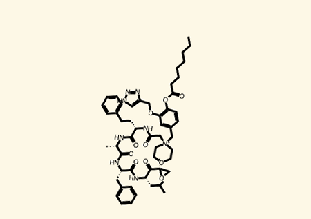 CCCCCCCC(=O)Oc1ccc(C[N+]2(CC(=O)N[C@@H](CCc3ccccc3)C(=O)N[C@@H](C)C(=O)N[C@@H](Cc3ccccc3)C(=O)N[C@@H](CC(C)C)C(=O)[C@@]3(C)CO3)CCOCC2)cc1OCc1c[nH]nn1